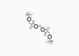 O=C1c2ccc(Oc3ccc4c(c3)C(=O)N(Cc3ccc(C5(C(F)(F)F)N=N5)cc3)C4=O)cc2C(=O)N1Cc1ccc(C2(C(F)(F)F)N=N2)cc1